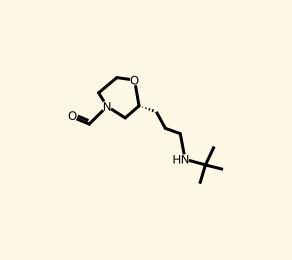 CC(C)(C)NCCC[C@@H]1CN(C=O)CCO1